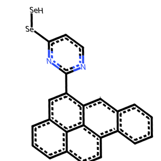 [SeH][Se]c1ccnc(-c2cc3cccc4ccc5c6ccccc6[c]c2c5c43)n1